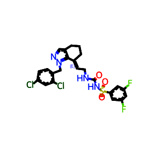 O=C(NC/C=C1\CCCc2cnn(Cc3ccc(Cl)cc3Cl)c21)NS(=O)(=O)c1cc(F)cc(F)c1